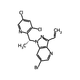 C=Cc1nn([C@H](C)c2ncc(Cl)cc2Cl)c2cc(Br)cnc12